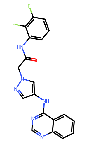 O=C(Cn1cc(Nc2ncnc3ccccc23)cn1)Nc1cccc(F)c1F